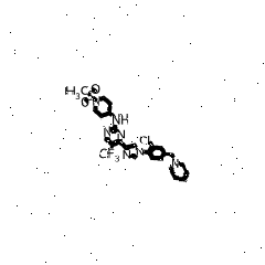 CS(=O)(=O)N1CCC(Nc2ncc(C(F)(F)F)c(-c3cn(-c4ccc(CN5CCCCC5)cc4Cl)cn3)n2)CC1